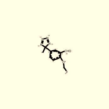 CC1(c2ccc(OCF)c(C=O)c2)N=NN=N1